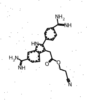 N#CCCOC(=O)Cc1c(-c2ccc(C(=N)N)cc2)[nH]c2cc(C(=N)N)ccc12